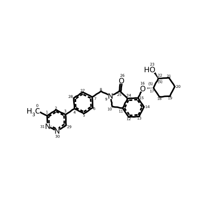 Cc1cc(-c2ccc(CN3Cc4cccc(O[C@H]5CCCC[C@@H]5O)c4C3=O)cc2)cnn1